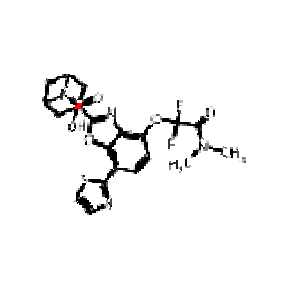 CN(C)C(=O)C(F)(F)Oc1ccc(-c2nccs2)c2oc(N3CC4CC(C3)N4C(=O)O)nc12